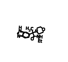 CCNC(=O)C(C)(c1ccc2nc[nH]c2c1)N1CCOCC1